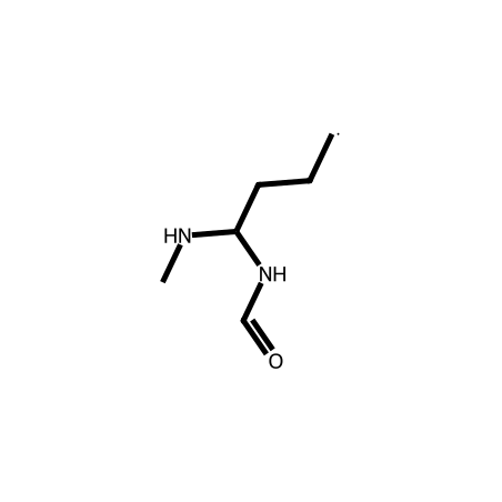 [CH2]CCC(NC)NC=O